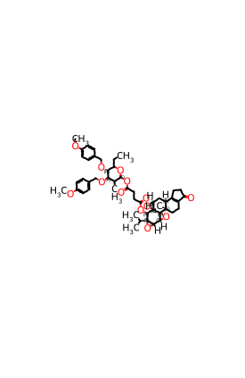 CCC1O[C@@H](OC(=O)CCC(=O)O[C@@H]2[C@@]3(C(C)C)O[C@H]3[C@@H]3O[C@]34[C@]23O[C@H]3C[C@H]2C3=C(CC[C@@]24C)C(=O)CC3)C(C)[C@@H](OCc2ccc(OC)cc2)[C@@H]1OCc1ccc(OC)cc1